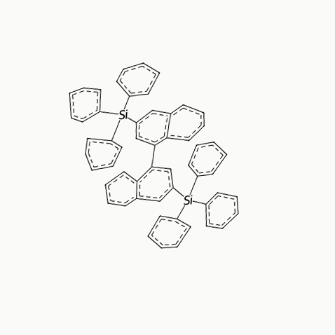 c1ccc([Si](c2ccccc2)(c2ccccc2)c2cc(-c3cc([Si](c4ccccc4)(c4ccccc4)c4ccccc4)cc4ccccc34)c3ccccc3c2)cc1